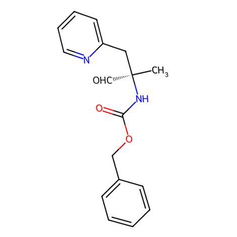 C[C@](C=O)(Cc1ccccn1)NC(=O)OCc1ccccc1